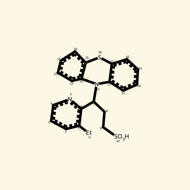 CCc1cccnc1C(CCS(=O)(=O)O)N1c2ccccc2Sc2ccccc21